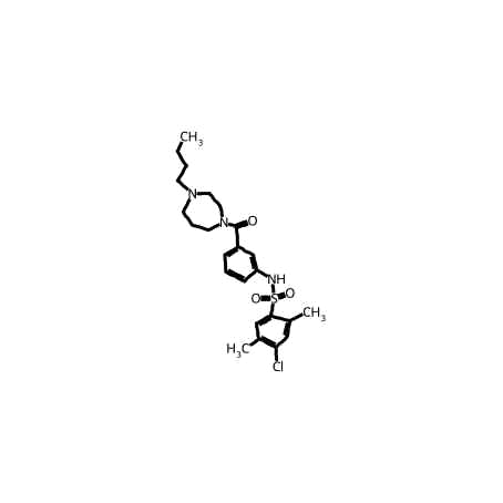 CCCCN1CCCN(C(=O)c2cccc(NS(=O)(=O)c3cc(C)c(Cl)cc3C)c2)CC1